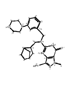 CCCc1nn(C)c2c(=O)[nH]c(N(Cc3cccc(N4CCOCC4)c3)CC3CC4CCC3C4)nc12